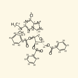 CN(C)c1nc(Cl)c2nnc([C@@H]3O[C@H](COC(=O)c4ccccc4)[C@@H](OC(=O)c4ccccc4)[C@H]3OC(=O)c3ccccc3)n2n1